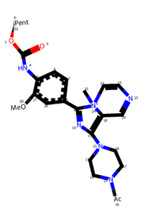 CCC[C@H](C)OC(=O)Nc1ccc(C2=NC(N3CCN(C(C)=O)CC3)=C3C=NC=C[N+]23C)cc1OC